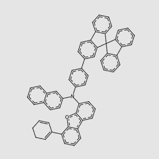 C1=CC(c2cccc3c2oc2c(N(c4ccc(-c5ccc6c(c5)C5(c7ccccc7-c7ccccc75)c5ccccc5-6)cc4)c4ccc5ccccc5c4)cccc23)=CCC1